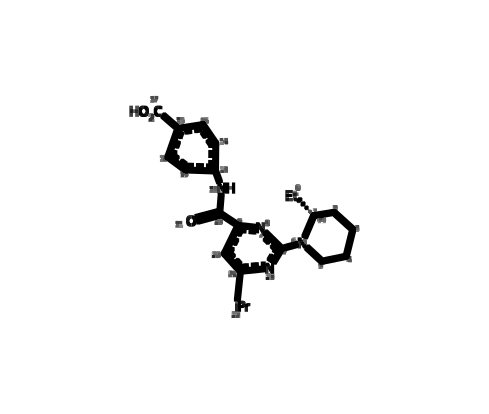 CC[C@@H]1CCCCN1c1nc(C(=O)Nc2ccc(C(=O)O)cc2)cc(C(C)C)n1